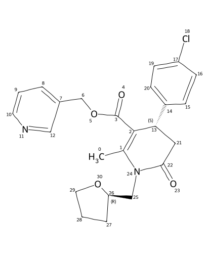 CC1=C(C(=O)OCc2cccnc2)[C@H](c2ccc(Cl)cc2)CC(=O)N1C[C@H]1CCCO1